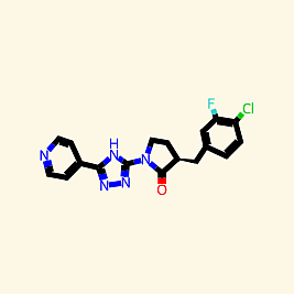 O=C1[C@H](Cc2ccc(Cl)c(F)c2)CCN1c1nnc(-c2ccncc2)[nH]1